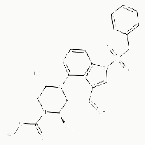 C=Cc1cn(S(=O)(=O)Cc2ccccc2)c2ccnc(N3C[C@@H](C)N(C(=O)OC(C)(C)C)C[C@@H]3C)c12